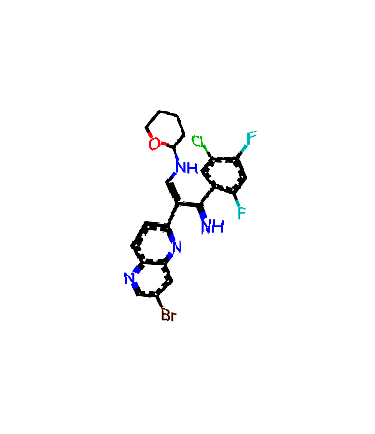 N=C(/C(=C\NC1CCCCO1)c1ccc2ncc(Br)cc2n1)c1cc(Cl)c(F)cc1F